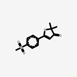 CC1(C)OC(c2ccc(S(C)(=O)=O)cc2)=CC1=O